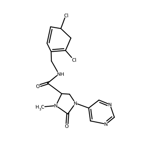 CN1C(=O)N(c2cncnc2)CC1C(=O)NCC1=C(Cl)CC(Cl)C=C1